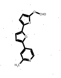 Cc1cc(-c2ccc(-c3ccc(OC=O)o3)o2)ccn1